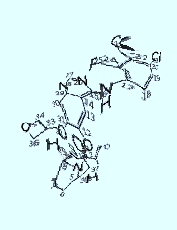 C=CC(=O)N1[C@@H]2CC[C@H]1CC(Oc1cc3c(Nc4ccc(Cl)c(Cl)c4F)ncnc3cc1OC1COC1)C2